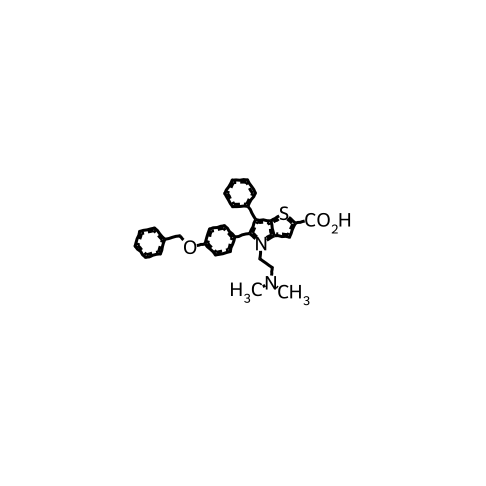 CN(C)CCn1c(-c2ccc(OCc3ccccc3)cc2)c(-c2ccccc2)c2sc(C(=O)O)cc21